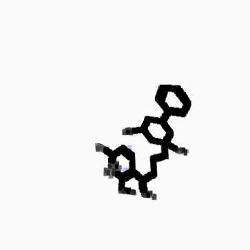 C=C(CCCC1(CCC)CC(CCC)CC(c2ccccc2)C1)C(/C=C\C(=C)C(C)C)=C(/C)NC